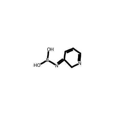 OB(O)N=C1C=CC=NC1